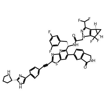 O=C(Cn1nc(C(F)F)c2c1C(F)(F)[C@@H]1C[C@H]21)N[C@@H](Cc1cc(F)cc(F)c1)c1nc2nc(C#Cc3ccc(-c4c[nH]c([C@@H]5CCCN5)n4)cc3)sc2cc1-c1ccc2c(c1)C(=O)NC2